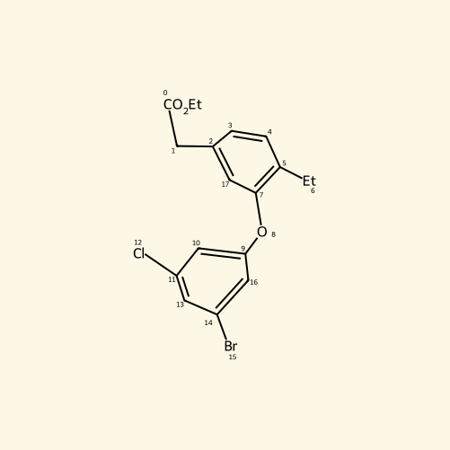 CCOC(=O)Cc1ccc(CC)c(Oc2cc(Cl)cc(Br)c2)c1